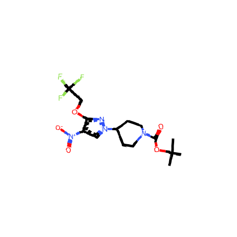 CC(C)(C)OC(=O)N1CCC(n2cc([N+](=O)[O-])c(OCC(F)(F)F)n2)CC1